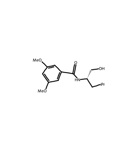 COc1cc(OC)cc(C(=O)N[C@H](CO)CC(C)C)c1